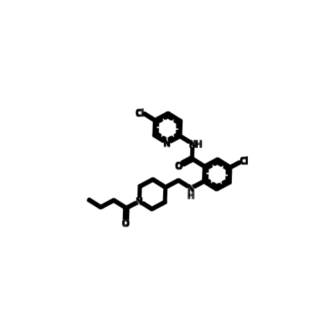 CCCC(=O)N1CCC(CNc2ccc(Cl)cc2C(=O)Nc2ccc(Cl)cn2)CC1